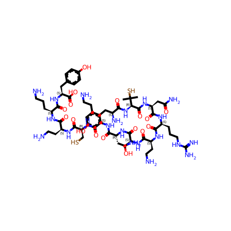 CC(C)(S)[C@H](NC(=O)[C@@H](N)Cc1ccc(O)cc1)C(=O)N[C@@H](CC(N)=O)C(=O)N[C@@H](CCCNC(=N)N)C(=O)N[C@@H](CCN)C(=O)N[C@@H](CO)C(=O)N[C@H](CCN)C(=O)N[C@@H](CCCCN)C(=O)N[C@@H](CS)C(=O)N[C@@H](CCN)C(=O)N[C@@H](CCCN)C(=O)N[C@@H](Cc1ccc(O)cc1)C(=O)O